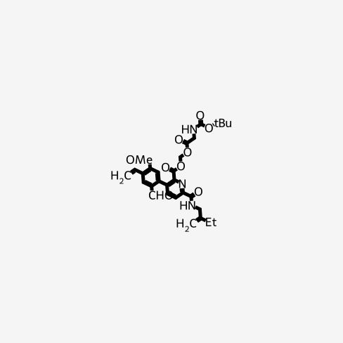 C=Cc1cc(C=O)c(-c2ccc(C(=O)NCC(=C)CC)nc2C(=O)OCOC(=O)CNC(=O)OC(C)(C)C)cc1OC